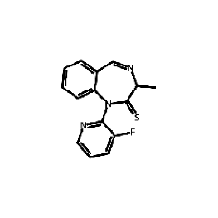 CC1N=Cc2ccccc2N(c2ncccc2F)C1=S